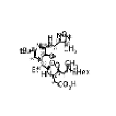 CCCCCCN(C)CC(=O)C(CC(=O)O)NC(=O)[C@H](CC)n1cc(C(C)(C)C)nc(NCc2nonc2C)c1=O